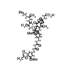 C=C(C)Oc1ccc(CCC(=O)CC(=O)CCc2ccc(C3Cc4c(C)c(OC(=O)CCC(=O)O)c(C)c(C)c4OC3(C)CCCC(C)CCCC(C)CCCC(C)C)c(OC)c2)cc1OC